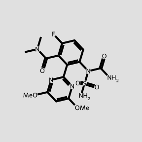 COc1cc(OC)nc(-c2c(N(C(N)=O)S(N)(=O)=O)ccc(F)c2C(=O)N(C)C)n1